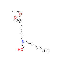 CCCCCCCCOC(CCCCCCCCN(CCO)CCCCCCCC=O)OCCCCCCCC